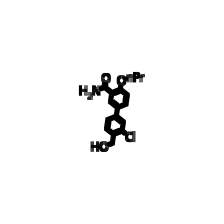 CCCOc1ccc(-c2ccc(CO)c(Cl)c2)cc1C(N)=O